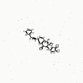 CN1c2ccc(C#CCc3ccccc3)cc2C(=O)/C(=C/c2ccc(Cl)c(Cl)c2)[S+]1[O-]